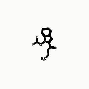 CCOC(=O)c1cc2ccccc2n1OC(F)F